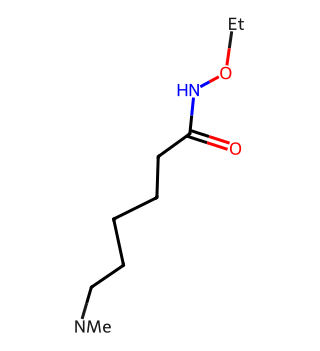 CCONC(=O)CCCCCNC